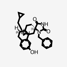 O=C1NC(=O)[C@@]2(CC[C@@]3(O)[C@H]4Cc5ccc(O)cc5C3(CCN4CC3CC3)C2)N1Cc1ccccc1